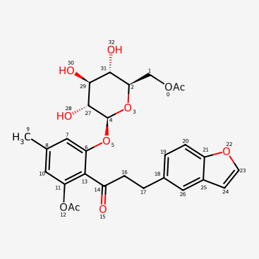 CC(=O)OC[C@H]1O[C@@H](Oc2cc(C)cc(OC(C)=O)c2C(=O)CCc2ccc3occc3c2)[C@H](O)[C@@H](O)[C@@H]1O